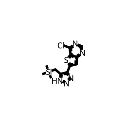 C[Si](C)(C)Cc1[nH]nnc1-c1cc2ncnc(Cl)c2s1